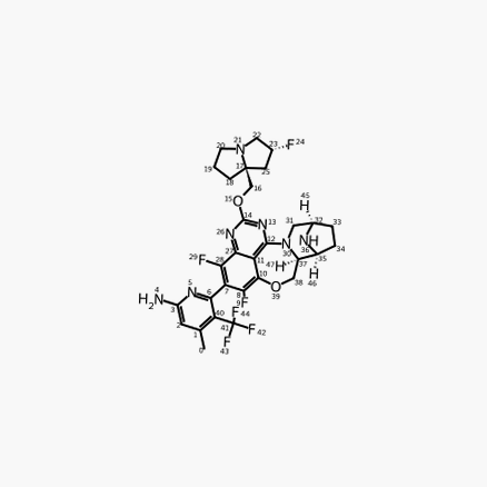 Cc1cc(N)nc(-c2c(F)c3c4c(nc(OC[C@@]56CCCN5C[C@H](F)C6)nc4c2F)N2C[C@H]4CC[C@H](N4)[C@H]2CO3)c1C(F)(F)F